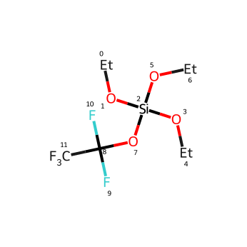 CCO[Si](OCC)(OCC)OC(F)(F)C(F)(F)F